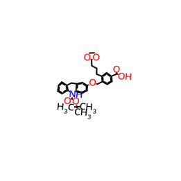 CC(C)(C)OC(=O)Nc1ccccc1Cc1cccc(OCc2ccc(C(=O)O)cc2CCCC2OCCO2)c1